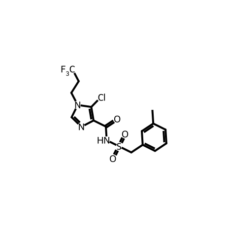 Cc1cccc(CS(=O)(=O)NC(=O)c2ncn(CCC(F)(F)F)c2Cl)c1